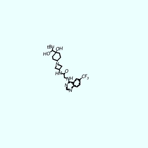 CC(C)(C)C(O)[C@]1(O)CC[C@H](N2CC(NC(=O)CNc3ncnc4ccc(C(F)(F)F)cc34)C2)CC1